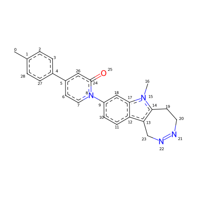 Cc1ccc(-c2ccn(-c3ccc4c5c(n(C)c4c3)CCN=NC5)c(=O)c2)cc1